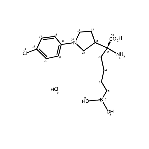 Cl.N[C@@](CCCCB(O)O)(C(=O)O)C1CCN(c2ccc(Cl)cc2)C1